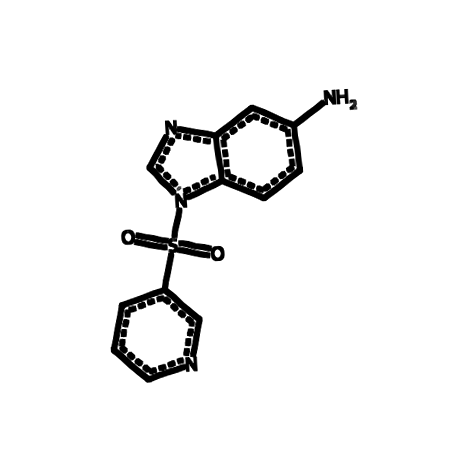 Nc1ccc2c(c1)ncn2S(=O)(=O)c1cccnc1